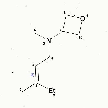 CC/C(C)=C\CN(C)C1COC1